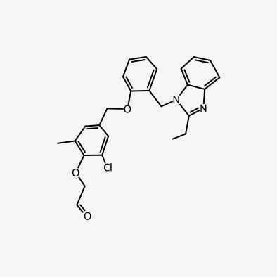 CCc1nc2ccccc2n1Cc1ccccc1OCc1cc(C)c(OCC=O)c(Cl)c1